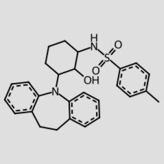 Cc1ccc(S(=O)(=O)NC2CCCC(N3c4ccccc4CCc4ccccc43)C2O)cc1